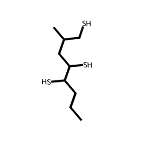 CCCC(S)C(S)CC(C)CS